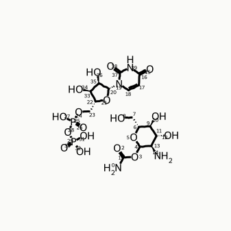 NC(=O)OC1O[C@H](CO)[C@@H](O)[C@H](O)[C@H]1N.O=c1ccn([C@@H]2O[C@H](COP(=O)(O)OP(=O)(O)O)[C@@H](O)[C@H]2O)c(=O)[nH]1